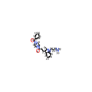 Cc1c(/C=C/C(=O)N2CCN(C(=O)c3ccccc3)CC2)c2ccccc2n1CCCN(C)C